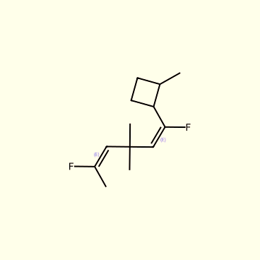 C/C(F)=C\C(C)(C)/C=C(/F)C1CCC1C